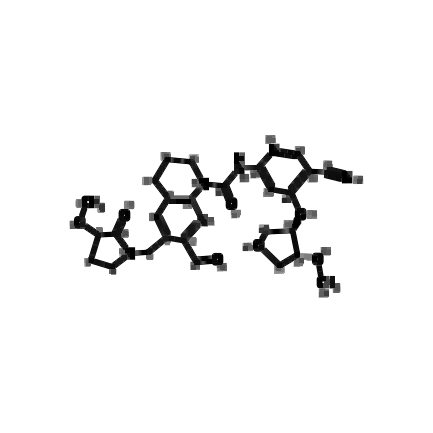 COC1CCN(Cc2cc3c(nc2C=O)N(C(=O)Nc2cc(O[C@@H]4COC[C@H]4OC)c(C#N)cn2)CCC3)C1=O